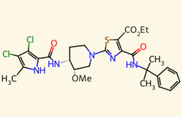 CCOC(=O)c1sc(N2CC[C@@H](NC(=O)c3[nH]c(C)c(Cl)c3Cl)[C@@H](OC)C2)nc1C(=O)NC(C)(C)c1ccccc1